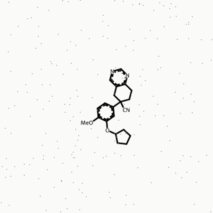 COc1ccc(C2(C#N)CCc3ncncc3C2)cc1OC1CCCC1